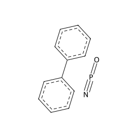 N#P=O.c1ccc(-c2ccccc2)cc1